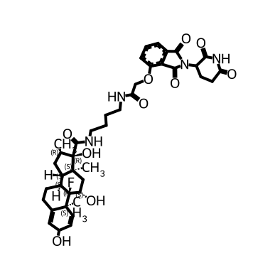 C[C@@H]1C[C@H]2[C@@H]3CCC4=CC(O)C=C[C@]4(C)[C@@]3(F)[C@@H](O)C[C@]2(C)[C@@]1(O)C(=O)NCCCCNC(=O)COc1cccc2c1C(=O)N(C1CCC(=O)NC1=O)C2=O